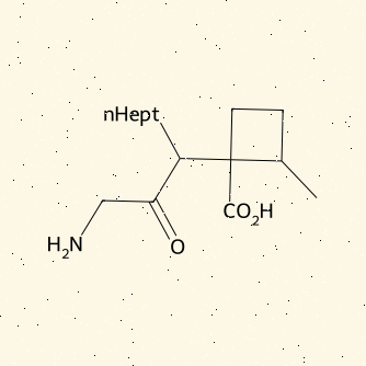 CCCCCCCC(C(=O)CN)C1(C(=O)O)CCC1C